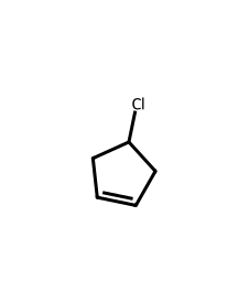 ClC1CC=CC1